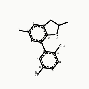 [CH2]C1Cc2cc(C)cc(-c3cc(Cl)ccc3Cl)c2O1